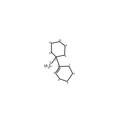 CC1(C2=CCCCC2)CCCCC1